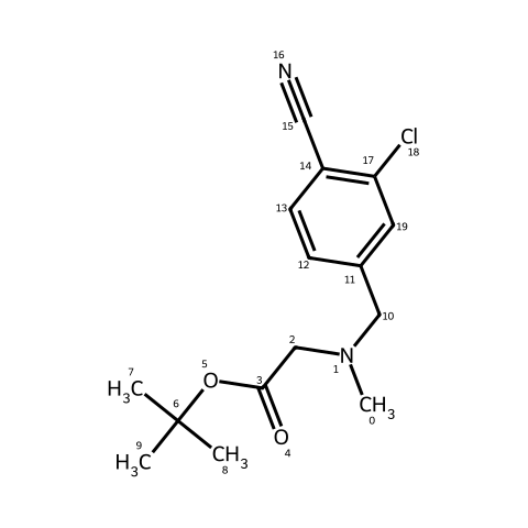 CN(CC(=O)OC(C)(C)C)Cc1ccc(C#N)c(Cl)c1